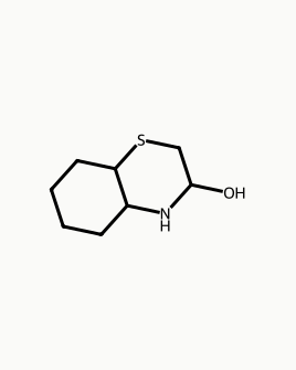 OC1CSC2CCCCC2N1